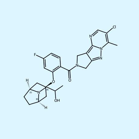 Cc1c(Cl)cnc2c3c(nn12)CN(C(=O)c1ccc(F)cc1O[C@H]1C[C@H]2CC[C@@H](C1)N2CC(C)O)C3